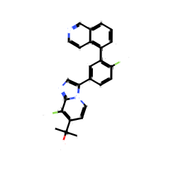 CC(C)(O)c1ccn2c(-c3ccc(F)c(-c4cccc5cnccc45)c3)cnc2c1F